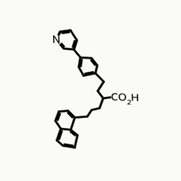 O=C(O)C(CCCc1cccc2ccccc12)CCc1ccc(-c2cccnc2)cc1